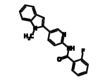 Cn1c(-c2ccc(NC(=O)c3ccccc3F)nc2)cc2ccccc21